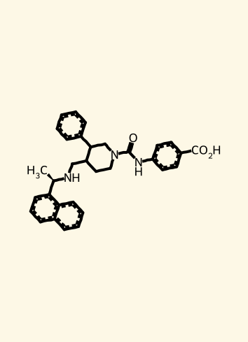 C[C@@H](NCC1CCN(C(=O)Nc2ccc(C(=O)O)cc2)CC1c1ccccc1)c1cccc2ccccc12